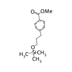 COC(=O)c1ccc(CCCO[Si](C)(C)C)cc1